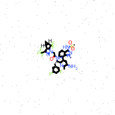 Cc1nc([C@H](Cc2cc(F)cc(F)c2)NC(=O)Cn2nc(C(F)(F)F)c3c2C(F)(F)[C@@H]2C[C@H]32)c(-c2cccc3c(NS(C)(=O)=O)nn(C)c23)cc1N